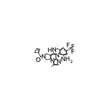 Cc1cnc2nc(N[C@H](C)c3cc(N)cc(C(F)(F)F)c3)c3c(n12)CN(C(=O)C12CC(C1)C2)C3